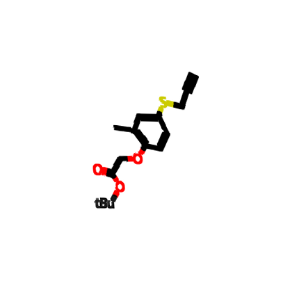 C#CCSc1ccc(OCC(=O)OC(C)(C)C)c(C)c1